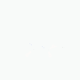 CC1CN(C(=O)OC(C)(C)C)CC(=O)N1Cc1ccccc1